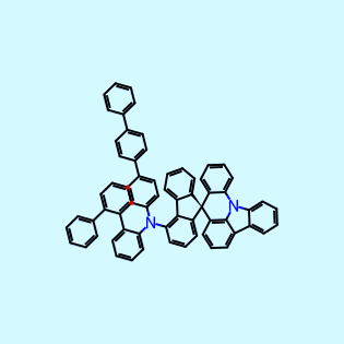 c1ccc(-c2ccc(-c3ccc(N(c4ccccc4-c4ccccc4-c4ccccc4)c4cccc5c4-c4ccccc4[C@]54c5ccccc5-n5c6ccccc6c6cccc4c65)cc3)cc2)cc1